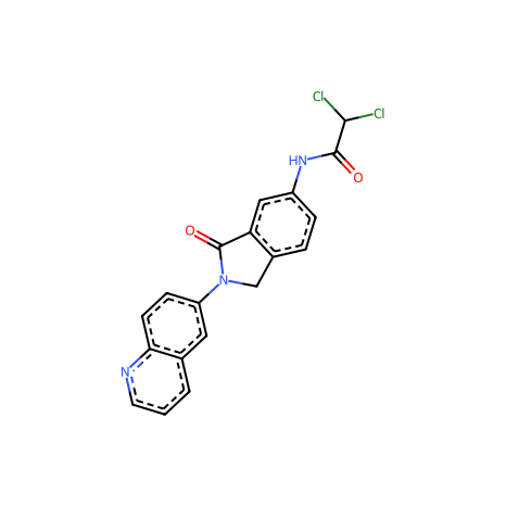 O=C(Nc1ccc2c(c1)C(=O)N(c1ccc3ncccc3c1)C2)C(Cl)Cl